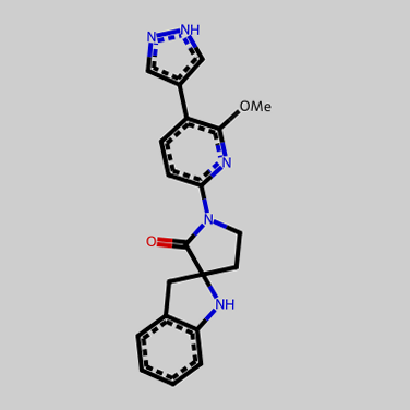 COc1nc(N2CCC3(Cc4ccccc4N3)C2=O)ccc1-c1cn[nH]c1